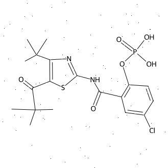 CC(C)(C)C(=O)c1sc(NC(=O)c2cc(Cl)ccc2OP(=O)(O)O)nc1C(C)(C)C